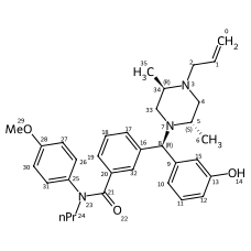 C=CCN1C[C@H](C)N([C@@H](c2cccc(O)c2)c2cccc(C(=O)N(CCC)c3ccc(OC)cc3)c2)C[C@H]1C